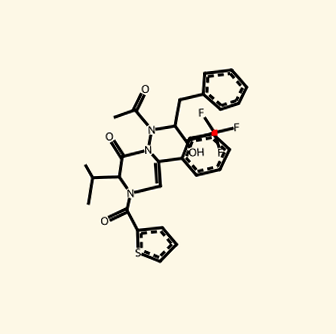 CC(=O)N(C(Cc1ccccc1)C(O)C(F)(F)F)N1C(=O)C(C(C)C)N(C(=O)c2cccs2)C=C1c1ccccc1